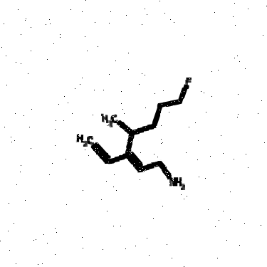 C=C/C(=C/CN)C(C)CCCF